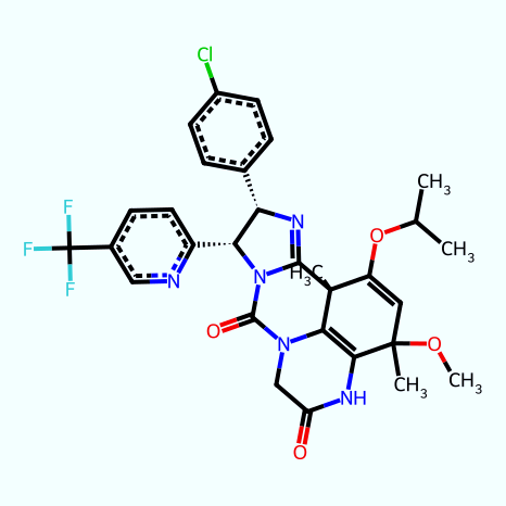 COC1(C)C=C(OC(C)C)C2(C)C3=N[C@@H](c4ccc(Cl)cc4)[C@@H](c4ccc(C(F)(F)F)cn4)N3C(=O)N3CC(=O)NC1=C32